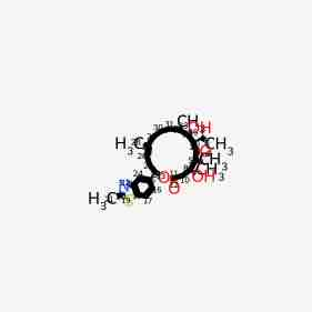 CC[C@H]1C(=O)C(C)(C)[C@@H](O)CC(=O)O[C@H](c2ccc3sc(C)nc3c2)CC=C(C)CCC[C@H](C)[C@@H]1O